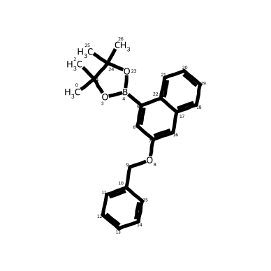 CC1(C)OB(c2cc(OCc3ccccc3)cc3ccccc23)OC1(C)C